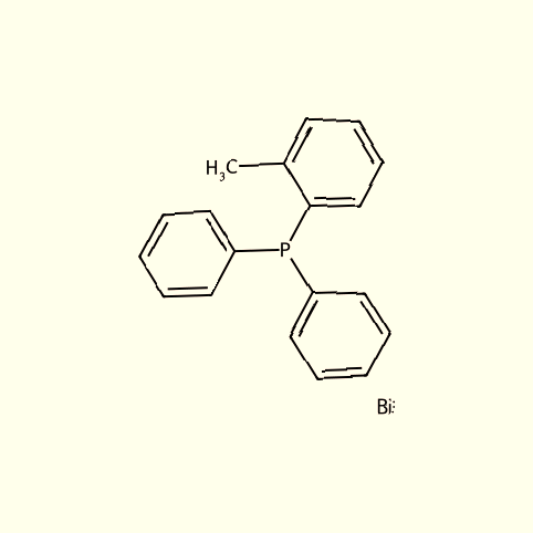 Cc1ccccc1P(c1ccccc1)c1ccccc1.[Bi]